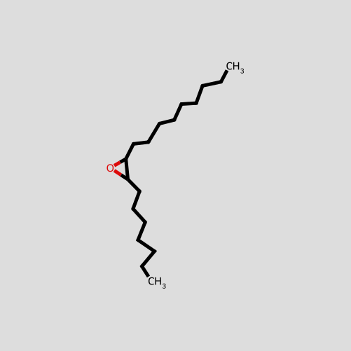 CCCCCCCCCC1OC1CCCCCCC